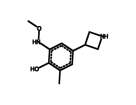 CONc1cc(C2CNC2)cc(C)c1O